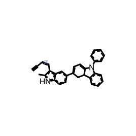 C#C/C=C\c1c(C)[nH]c2ccc(C3=CC=C4C(C3)c3ccccc3N4c3ccccc3)cc12